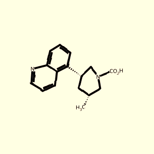 C[C@@H]1C[C@H](c2cccc3ncccc23)CN(C(=O)O)C1